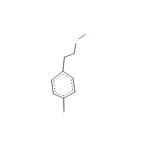 CNCCc1ccc(F)cc1